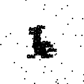 C=C1C[C@@]23CC[C@H]4[C@@](C)(CCC[C@@]4(C)C(=O)O[C@@H]4OC[C@H](OC(C)=O)[C@H](OC(C)=O)[C@H]4OC(C)=O)[C@@H]2CC[C@]1(O[C@@H]1O[C@H](CCOC(C)=O)[C@@H](OC(C)=O)[C@H](O[C@@H]2O[C@H](CCOC(C)=O)[C@@H](OC(C)=O)[C@H](OC(C)=O)[C@H]2O)[C@H]1O[C@@H]1O[C@H](C)[C@@H](OC(C)=O)[C@H](OC(C)=O)[C@H]1OC(C)=O)C3